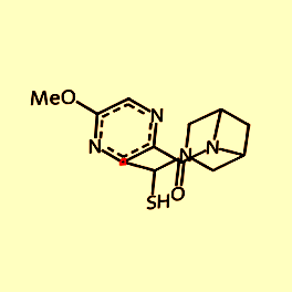 COc1cnc(C(=O)N2C3CC2CN(C(C)S)C3)cn1